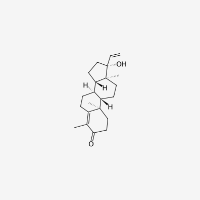 C=C[C@]1(O)CC[C@H]2[C@@H]3CCC4=C(C)C(=O)CC[C@]4(C)[C@H]3CC[C@@]21C